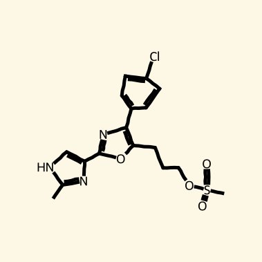 Cc1nc(-c2nc(-c3ccc(Cl)cc3)c(CCCOS(C)(=O)=O)o2)c[nH]1